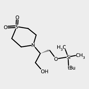 CC(C)(C)[Si](C)(C)OC[C@H](CO)N1CCS(=O)(=O)CC1